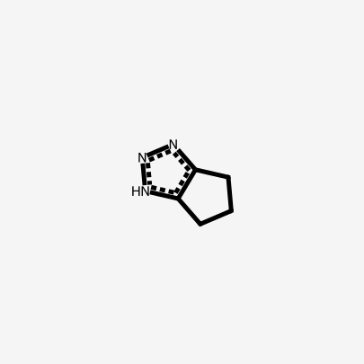 C1Cc2nn[nH]c2C1